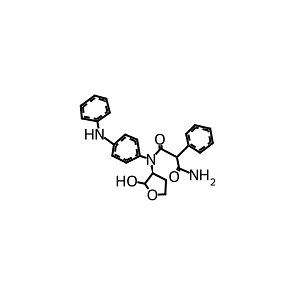 NC(=O)C(C(=O)N(c1ccc(Nc2ccccc2)cc1)[C@H]1CCOC1O)c1ccccc1